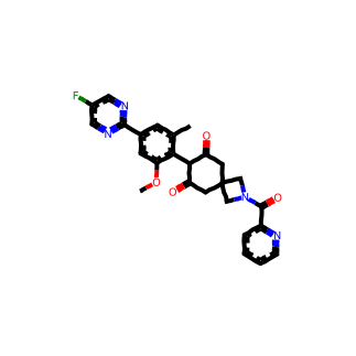 COc1cc(-c2ncc(F)cn2)cc(C)c1C1C(=O)CC2(CC1=O)CN(C(=O)c1ccccn1)C2